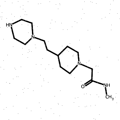 CNC(=O)CN1CCC(CCN2CCNCC2)CC1